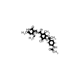 CSc1cc(C)[nH]c(=O)c1CNC(=O)c1cc(Cl)c2c(c1C)OC(C)(C1CCC(NC(C)=O)CC1)O2